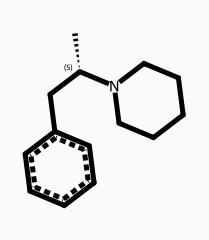 C[C@@H](Cc1ccccc1)N1CCCCC1